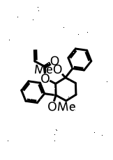 C=CC(=O)OC1C(OC)(c2ccccc2)CCCC1(OC)c1ccccc1